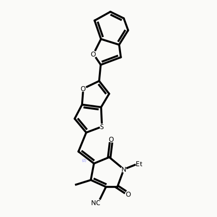 CCN1C(=O)C(C#N)=C(C)/C(=C/c2cc3oc(-c4cc5ccccc5o4)cc3s2)C1=O